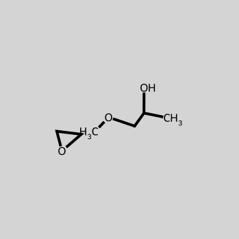 C1CO1.COCC(C)O